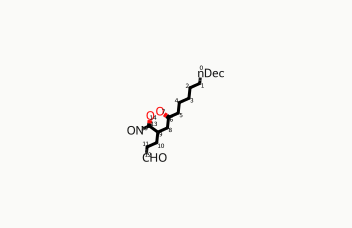 CCCCCCCCCCCCCCCC(=O)CC(CCC=O)C(=O)N=O